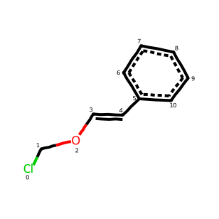 ClCOC=Cc1ccccc1